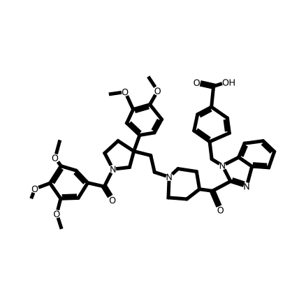 COc1ccc(C2(CCN3CCC(C(=O)c4nc5ccccc5n4Cc4ccc(C(=O)O)cc4)CC3)CCN(C(=O)c3cc(OC)c(OC)c(OC)c3)C2)cc1OC